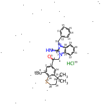 CC(C)(C)c1cc(C(=O)Cn2c(=N)n(Cc3ccccc3)c3ccccc32)cc2c1SCCC2(C)C.Cl